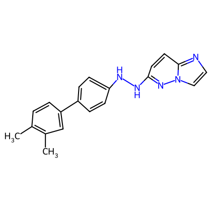 Cc1ccc(-c2ccc(NNc3ccc4nccn4n3)cc2)cc1C